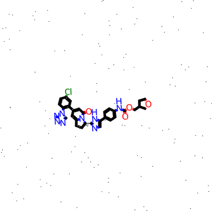 O=C(Nc1ccc(-c2cnc([C@@H]3CCc4cc(-c5cc(Cl)ccc5-n5cnnn5)cc(=O)n43)[nH]2)cc1)OCC1CCOC1